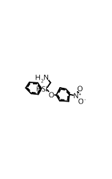 NC[SiH](Oc1ccc([N+](=O)[O-])cc1)c1ccccc1